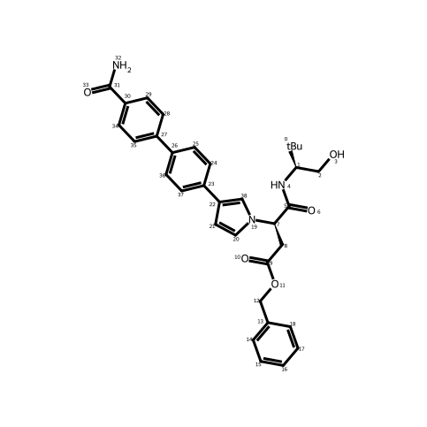 CC(C)(C)[C@@H](CO)NC(=O)[C@@H](CC(=O)OCc1ccccc1)n1ccc(-c2ccc(-c3ccc(C(N)=O)cc3)cc2)c1